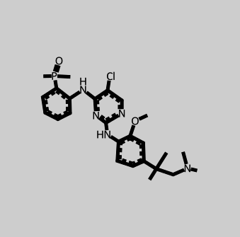 COc1cc(C(C)(C)CN(C)C)ccc1Nc1ncc(Cl)c(Nc2ccccc2P(C)(C)=O)n1